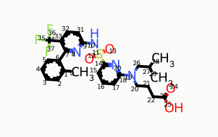 Cc1ccccc1-c1nc(NS(=O)(=O)c2cccc(N(CCCC(=O)O)CC(C)C)n2)ccc1C(F)(F)F